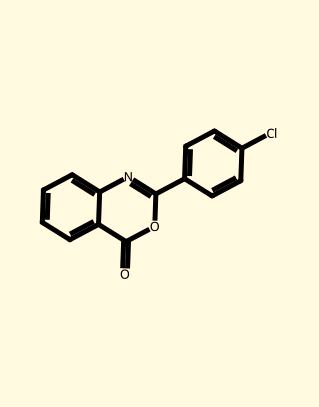 O=c1oc(-c2ccc(Cl)cc2)nc2ccccc12